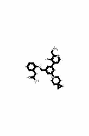 NCc1nccc(-c2cc(COc3ccccc3CC(=O)O)cc(N3CCC4(CC3)CC4)c2)c1F